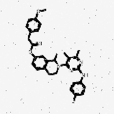 COc1ccc(CC(=O)Oc2ccc3c(c2)C(C)N(c2nc(Nc4ccc(F)cc4)nc(C)c2C)CC3)cc1